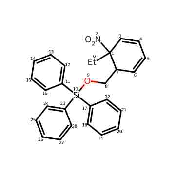 CCC1([N+](=O)[O-])C=CC=CC1CO[Si](c1ccccc1)(c1ccccc1)c1ccccc1